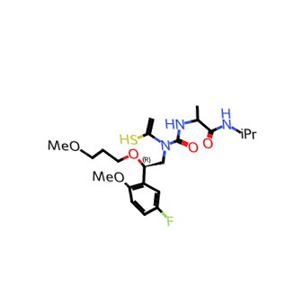 C=C(S)N(C[C@H](OCCCOC)c1cc(F)ccc1OC)C(=O)NC(C)C(=O)NC(C)C